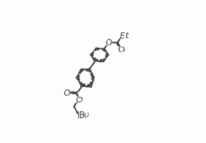 CCC(=O)Oc1ccc(-c2ccc(C(=O)OCC(C)CC)cc2)cc1